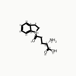 N[C@@H](CCC(=O)N1CCc2ccccc21)C(=O)O